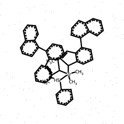 CC1=Cc2c(-c3cccc4ccccc34)cccc2[CH]1[Zr]([CH3])([CH3])([CH]1C(C)=Cc2c(-c3cccc4ccccc34)cccc21)[SiH](c1ccccc1)c1ccccc1